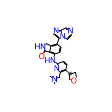 CN(C)Cc1nc(Nc2ccc(-c3cnc4cnccn34)c3c2C(=O)NC3)ccc1[C@H]1CCOC1